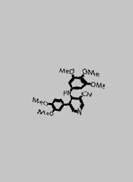 COc1ccc(-c2cncc(C#N)c2Nc2cc(OC)c(OC)c(OC)c2)cc1OC